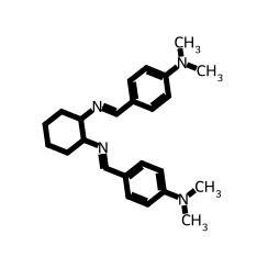 CN(C)c1ccc(C=NC2CCCCC2N=Cc2ccc(N(C)C)cc2)cc1